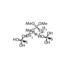 CC.CC.CC[Si](OC)(OC)OC.OP(O)(O)=S.OP(O)(O)=S